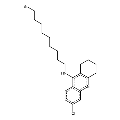 Clc1ccc2c(NCCCCCCCCCBr)c3c(nc2c1)CCCC3